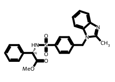 COC(=O)[C@@H](NS(=O)(=O)c1ccc(Cn2c(C)nc3ccccc32)cc1)c1ccccc1